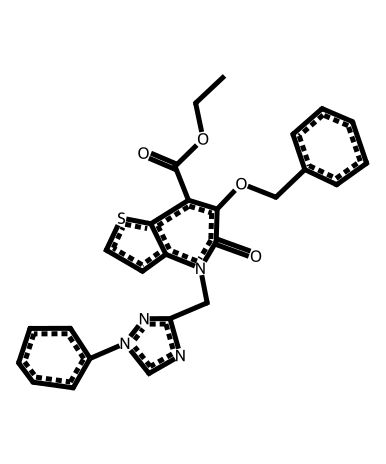 CCOC(=O)c1c(OCc2ccccc2)c(=O)n(Cc2ncn(-c3ccccc3)n2)c2ccsc12